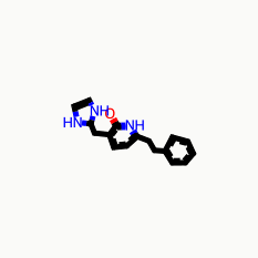 O=c1[nH]c(CCc2ccccc2)ccc1CC1NC=CN1